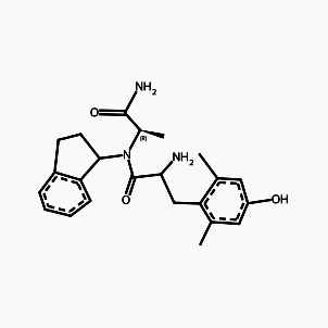 Cc1cc(O)cc(C)c1CC(N)C(=O)N(C1CCc2ccccc21)[C@H](C)C(N)=O